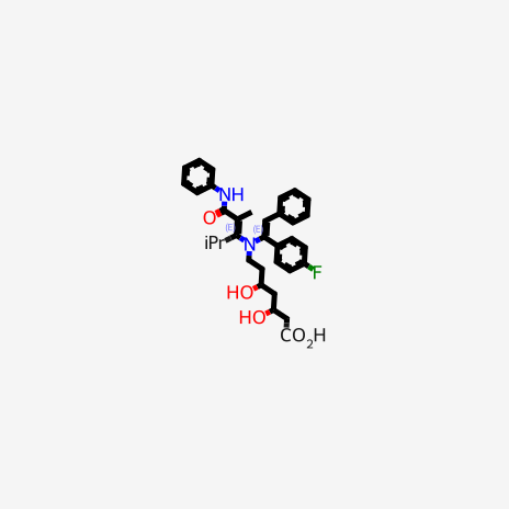 C/C(C(=O)Nc1ccccc1)=C(/C(C)C)N(CCC(O)CC(O)CC(=O)O)/C(=C/c1ccccc1)c1ccc(F)cc1